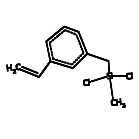 C=Cc1cccc(C[Si](C)(Cl)Cl)c1